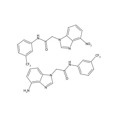 Nc1cccc2c1ncn2CC(=O)Nc1cccc(C(F)(F)F)c1.O=C(Cn1cnc2c([N+](=O)[O-])cccc21)Nc1cccc(C(F)(F)F)c1